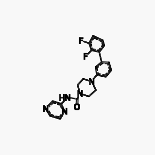 O=C(Nc1cnccn1)N1CCN(c2cccc(-c3cccc(F)c3F)c2)CC1